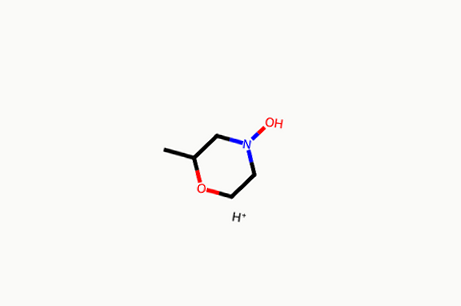 CC1CN(O)CCO1.[H+]